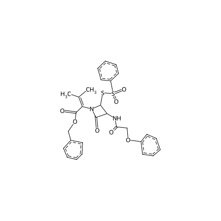 CC(C)=C(C(=O)OCc1ccccc1)N1C(=O)C(NC(=O)COc2ccccc2)C1SS(=O)(=O)c1ccccc1